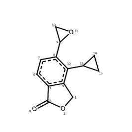 O=C1OCc2c1ccc(C1CO1)c2C1CC1